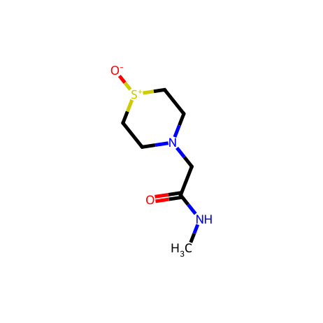 CNC(=O)CN1CC[S+]([O-])CC1